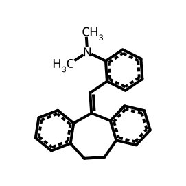 CN(C)c1ccccc1C=C1c2ccccc2CCc2ccccc21